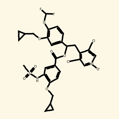 CS(=O)(=O)Nc1cc(C(=O)OC(Cc2c(Cl)c[n+]([O-])cc2Cl)c2ccc(OC(F)F)c(OCC3CC3)c2)ccc1OCC1CC1